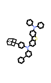 c1ccc(-c2cccc(N(c3ccc(C45CC6CC7CC(C4)C65C7)cc3)c3ccc4sc5cc(N(c6ccccc6)c6ccccc6)ccc5c4c3)c2)cc1